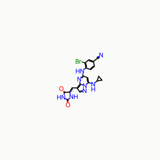 N#Cc1ccc(Nc2cc(NC3CC3)n3ncc(/C=C4\NC(=O)NC4=O)c3n2)c(Br)c1